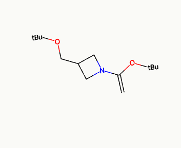 C=C(OC(C)(C)C)N1CC(COC(C)(C)C)C1